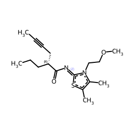 CC#CC[C@@H](CCC)C(=O)/N=c1\sc(C)c(C)n1CCOC